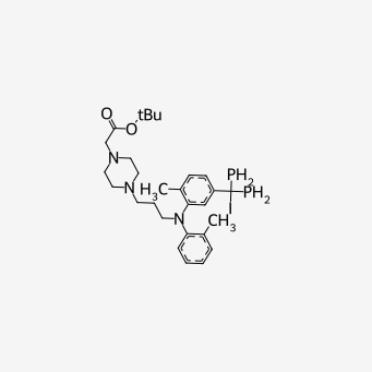 Cc1ccccc1N(CCCN1CCN(CC(=O)OC(C)(C)C)CC1)c1cc(C(P)(P)I)ccc1C